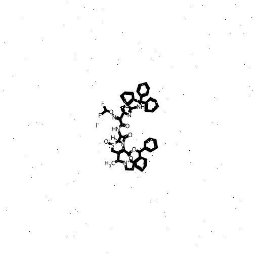 CC(C1=C(C(=O)OC(c2ccccc2)c2ccccc2)N2C(=O)C(NC(=O)C(=NOC(F)F)c3csc(NC(c4ccccc4)(c4ccccc4)c4ccccc4)n3)[C@@H]2[S+]([O-])C1)[N+]1CCCC1.[I-]